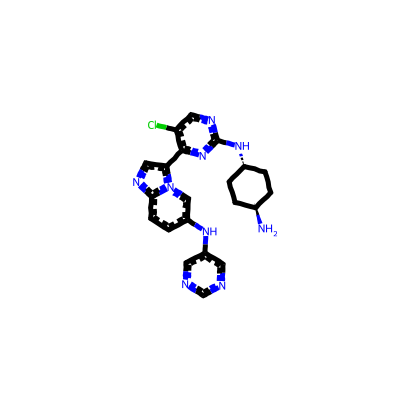 N[C@H]1CC[C@H](Nc2ncc(Cl)c(-c3cnc4ccc(Nc5cncnc5)cn34)n2)CC1